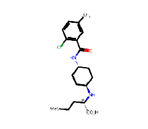 CSCC[C@H](N[C@H]1CC[C@H](NC(=O)c2cc(C(F)(F)F)ccc2Cl)CC1)C(=O)O